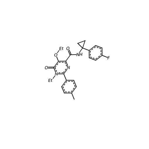 CCOc1c(C(=O)NC2(c3ccc(F)cc3)CC2)nc(-c2ccc(C)cc2)n(CC)c1=O